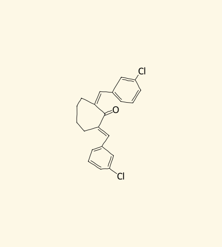 O=C1C(=Cc2cccc(Cl)c2)CCCCC1=Cc1cccc(Cl)c1